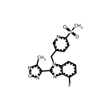 Cc1nonc1-c1nc2c(F)cccc2n1Cc1ccc(S(C)(=O)=O)nc1